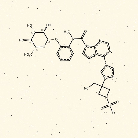 CCS(=O)(=O)N1CC(CC#N)(n2cc(-c3ncnc4c3ccn4C(=O)N(C)c3ccccc3O[C@@H]3O[C@H](C(=O)O)[C@@H](O)[C@H](O)[C@H]3O)cn2)C1